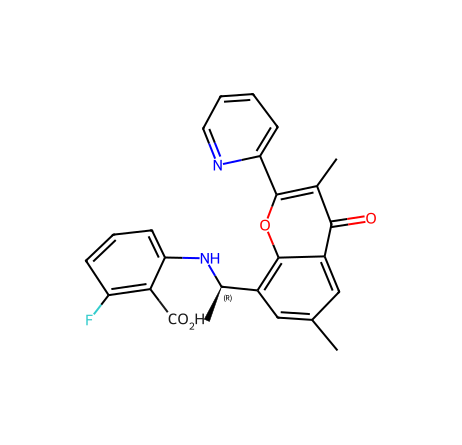 Cc1cc([C@@H](C)Nc2cccc(F)c2C(=O)O)c2oc(-c3ccccn3)c(C)c(=O)c2c1